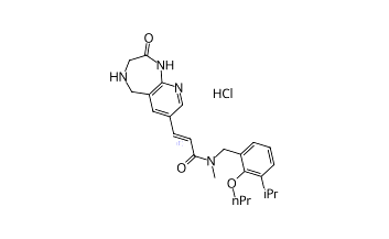 CCCOc1c(CN(C)C(=O)/C=C/c2cnc3c(c2)CNCC(=O)N3)cccc1C(C)C.Cl